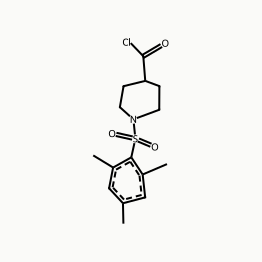 Cc1cc(C)c(S(=O)(=O)N2CCC(C(=O)Cl)CC2)c(C)c1